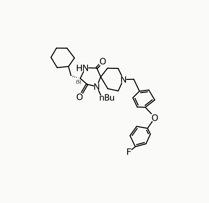 CCCCN1C(=O)[C@H](CC2CCCCC2)NC(=O)C12CCN(Cc1ccc(Oc3ccc(F)cc3)cc1)CC2